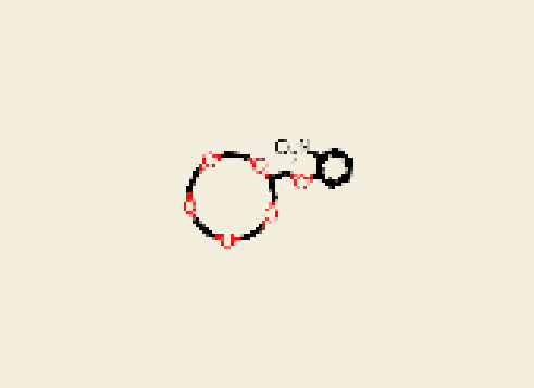 O=[N+]([O-])c1ccccc1OCC1COCCOCCOCCOCCO1